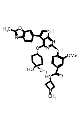 COc1cc(C(=O)NC2CN(C)C2)ccc1Nc1nc(O[C@H]2CC[C@@](C)(O)CC2)c2c(-c3ccc4nc(C)oc4c3)c[nH]c2n1